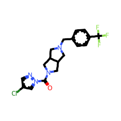 O=C(N1CC2CN(Cc3ccc(C(F)(F)F)cc3)CC2C1)n1cc(Cl)cn1